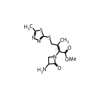 COC(=O)/C(=C(\C)CSc1nnc(C)s1)N1CC(N)C1=O